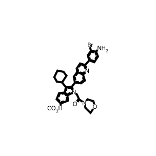 Nc1ccc(-c2ccc3cc(-c4c(C5CCCCC5)c5ccc(C(=O)O)cc5n4CC(=O)N4CCOCC4)ccc3n2)cc1Br